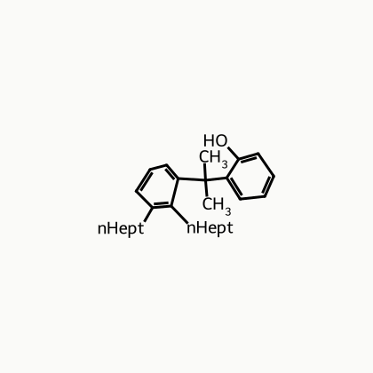 CCCCCCCc1cccc(C(C)(C)c2ccccc2O)c1CCCCCCC